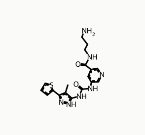 Cc1c(-c2cccs2)n[nH]c1NC(=O)Nc1cncc(C(=O)NCCCN)c1